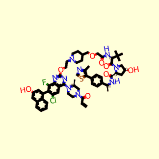 C=CC(=O)N1CCN(c2nc(OCCN3CCC(COCC(=O)N[C@H](C(=O)N4C[C@H](O)C[C@H]4C(=O)N[C@@H](C)c4ccc(-c5scnc5C)cc4)C(C)(C)C)CC3)nc3c(F)c(-c4cc(O)cc5ccccc45)c(Cl)cc23)[C@@H](C)C1